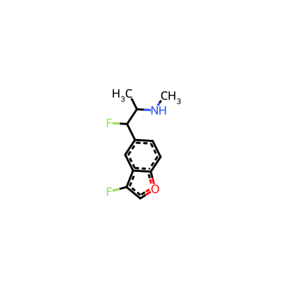 CNC(C)C(F)c1ccc2occ(F)c2c1